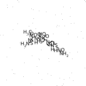 CO/N=C(\C(=O)N[C@@H]1C(=O)N2C(C(=O)O)=C(CN3C=CN4NC(SCCNC(N)=O)=CC=C34)CS[C@@H]12)c1csc(N)n1